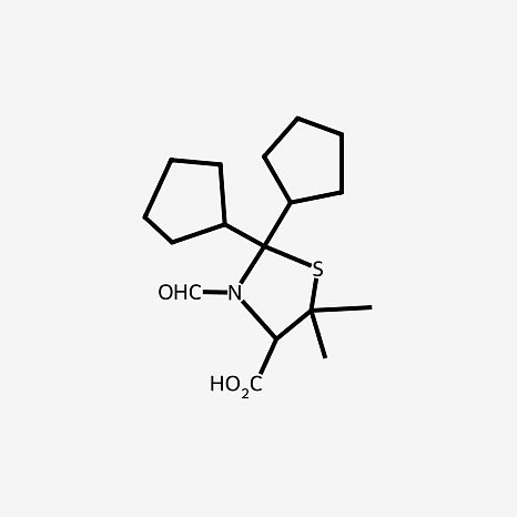 CC1(C)SC(C2CCCC2)(C2CCCC2)N(C=O)C1C(=O)O